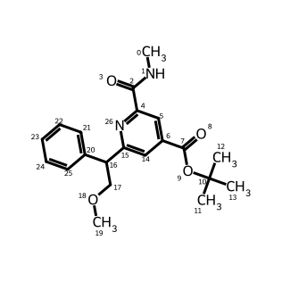 CNC(=O)c1cc(C(=O)OC(C)(C)C)cc(C(COC)c2ccccc2)n1